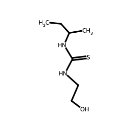 CCC(C)NC(=S)NCCO